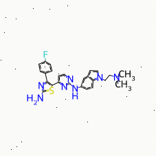 CN(C)CCn1ccc2cc(Nc3nccc(-c4sc(N)nc4-c4ccc(F)cc4)n3)ccc21